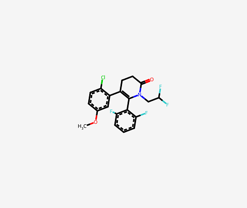 COc1ccc(Cl)c(C2=C(c3c(F)cccc3F)N(CC(F)F)C(=O)CC2)c1